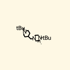 C[C@@H]1CN(CC2CCN(C(C)(C)C)CC2)CCN1C(C)(C)C